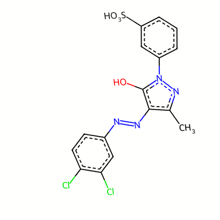 Cc1nn(-c2cccc(S(=O)(=O)O)c2)c(O)c1N=Nc1ccc(Cl)c(Cl)c1